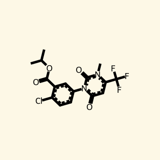 CC(C)OC(=O)c1cc(-n2c(=O)cc(C(F)(F)F)n(C)c2=O)ccc1Cl